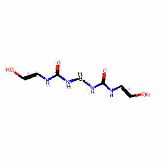 O=C(NBNC(=O)N/C=C/O)N/C=C/O